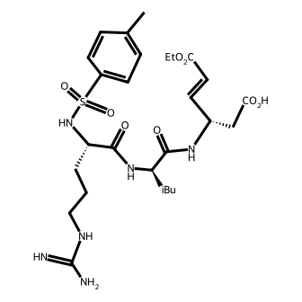 CCOC(=O)/C=C/[C@H](CC(=O)O)NC(=O)[C@H](NC(=O)[C@H](CCCNC(=N)N)NS(=O)(=O)c1ccc(C)cc1)C(C)CC